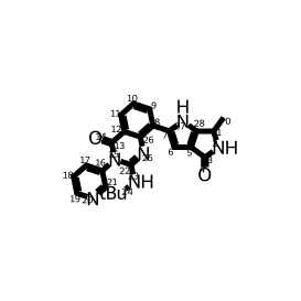 CC1NC(=O)c2cc(-c3cccc4c(=O)n(-c5cccnc5)c(NC(C)(C)C)nc34)[nH]c21